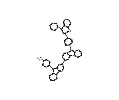 Cc1ccc(-n2c3ccccc3c3ccc(-c4ccc5c(c4)c4ccccc4n5-c4ccc(-c5nc(-c6ccccc6)c6ccccc6n5)cc4)cc32)cc1